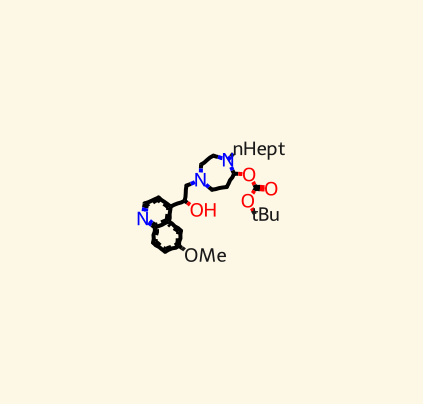 CCCCCCCN1CCN(CC(O)c2ccnc3ccc(OC)cc23)CCC1OC(=O)OC(C)(C)C